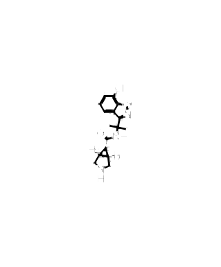 CC(C)(NC(=O)[C@H]1[C@@H]2CNC[C@@H]21)c1noc2c(C(F)(F)F)cccc12